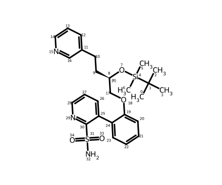 CC(C)(C)[Si](C)(C)O[C@H](CCc1cccnc1)COc1ccccc1-c1cccnc1S(N)(=O)=O